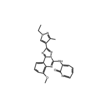 CCn1cc(-c2nc3c4cccc(OC)c4nc(Nc4ccccnc4=O)n3n2)c(C)n1